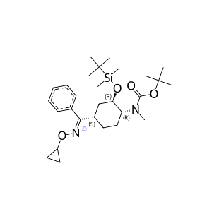 CN(C(=O)OC(C)(C)C)[C@@H]1CC[C@H](/C(=N/OC2CC2)c2ccccc2)C[C@H]1O[Si](C)(C)C(C)(C)C